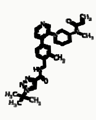 C=CC(=O)N(C)[C@H]1CCCN(c2cnccc2-c2ccc(CNC(=O)c3cn(C(C)(C)C)nn3)c(C)c2)C1